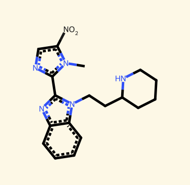 Cn1c([N+](=O)[O-])cnc1-c1nc2ccccc2n1CCC1CCCCN1